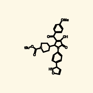 COc1ccc(C(=O)C2=C(O)C(=O)N(c3ccc(C4C=CON4)cc3)C2C2CCN(C(=O)OC(C)(C)C)CC2)cc1